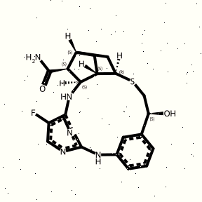 NC(=O)[C@H]1[C@H]2C[C@H]3[C@H]1Nc1nc(ncc1F)Nc1cccc(c1)[C@H](O)CS[C@@H]3C2